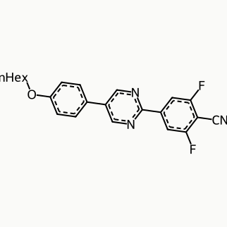 CCCCCCOc1ccc(-c2cnc(-c3cc(F)c(C#N)c(F)c3)nc2)cc1